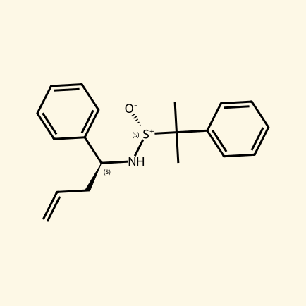 C=CC[C@H](N[S@+]([O-])C(C)(C)c1ccccc1)c1ccccc1